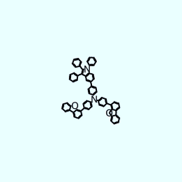 c1ccc(-c2c(-c3ccccc3)n(-c3ccccc3)c3ccc(-c4ccc(N(c5ccc(-c6cccc7c6oc6ccccc67)cc5)c5ccc(-c6cccc7c6oc6ccccc67)cc5)cc4)cc23)cc1